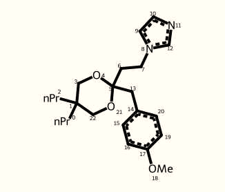 CCCC1(CCC)COC(CCn2ccnc2)(Cc2ccc(OC)cc2)OC1